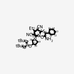 CCc1c(C#N)c(S[C@@H](C(N)=O)c2ccccc2)nc(N2CCC(OP(OC(C)(C)C)OC(C)(C)C)C2)c1C#N